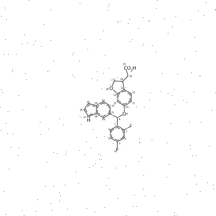 Cc1cc(F)ccc1C(Oc1ccc2c(c1)OCC2CC(=O)O)c1ccc2cc[nH]c2c1